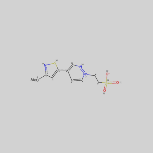 COc1cc(-c2cc[n+](CCS(=O)(=O)[O-])nc2)sn1